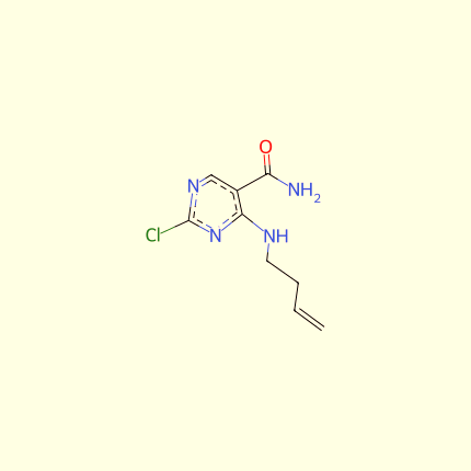 C=CCCNc1nc(Cl)ncc1C(N)=O